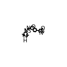 CN(c1nc2c(s1)-c1ccc(-c3cnn(C)c(=O)c3)cc1OC2)C1CC(C)(C)NC(C)(C)C1